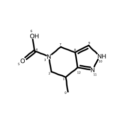 CC1CN(C(=O)O)Cc2c[nH]nc21